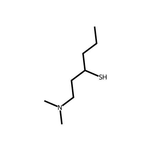 CCCC(S)CCN(C)C